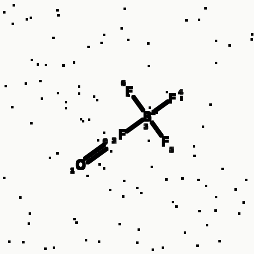 C=O.F[B-](F)(F)F